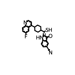 N#Cc1ccc2[nH]n(C(S)C3CCC(c4ccnc5ccc(F)cc45)CC3)c(=O)c2c1